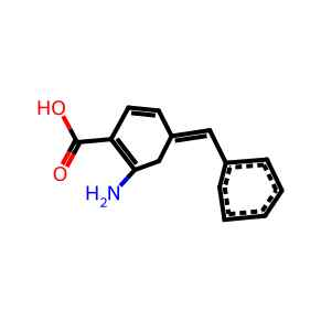 NC1=C(C(=O)O)C=CC(=Cc2ccccc2)C1